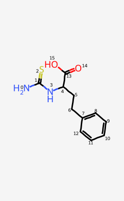 NC(=S)NC(CCc1ccccc1)C(=O)O